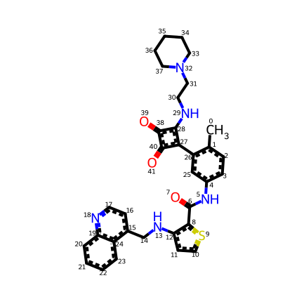 Cc1ccc(NC(=O)c2sccc2NCc2ccnc3ccccc23)cc1-c1c(NCCN2CCCCC2)c(=O)c1=O